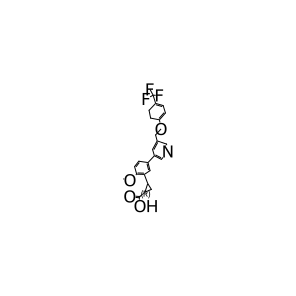 COc1ccc(-c2cncc(COC3=CC=C(C(F)(F)F)CC3)c2)cc1C1C[C@H]1C(=O)O